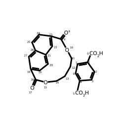 O=C(O)c1ccc(C(=O)O)cc1.O=C1OCCCCOC(=O)c2ccc3cc1ccc3c2